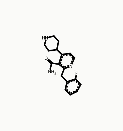 NC(=O)c1c(C2CCNCC2)ccnc1Cc1ccccc1F